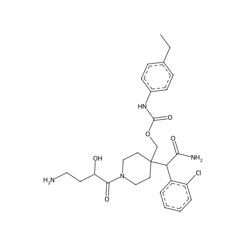 CCc1ccc(NC(=O)OCC2(C(C(N)=O)c3ccccc3Cl)CCN(C(=O)C(O)CCN)CC2)cc1